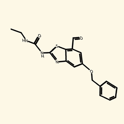 CCNC(=O)Nc1nc2cc(OCc3ccccc3)cc(C=O)c2s1